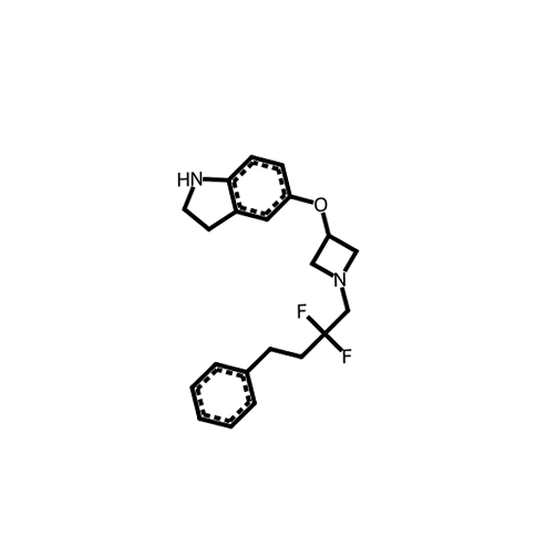 FC(F)(CCc1ccccc1)CN1CC(Oc2ccc3c(c2)CCN3)C1